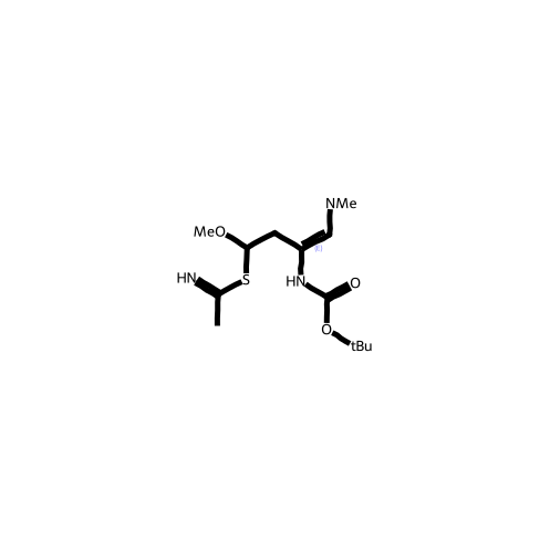 CN/C=C(\CC(OC)SC(C)=N)NC(=O)OC(C)(C)C